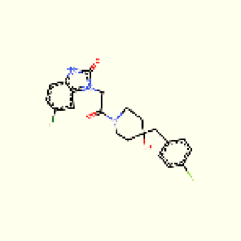 O=C(Cn1c(=O)[nH]c2ccc(Cl)cc21)N1CCC(O)(Cc2ccc(F)cc2)CC1